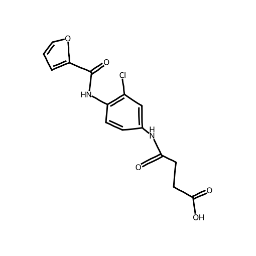 O=C(O)CCC(=O)Nc1ccc(NC(=O)c2ccco2)c(Cl)c1